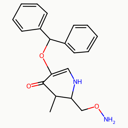 CC1C(=O)C(OC(c2ccccc2)c2ccccc2)=CNC1CON